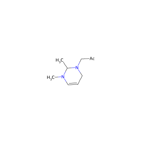 CC(=O)CN1CC=CN(C)C1C